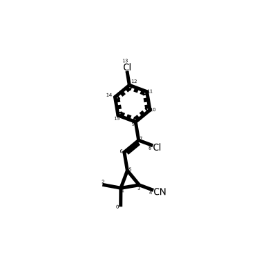 CC1(C)C(C#N)C1C=C(Cl)c1ccc(Cl)cc1